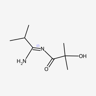 CC(C)/C(N)=N/C(=O)C(C)(C)O